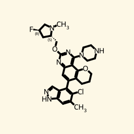 Cc1cc2[nH]ncc2c(-c2cc3nc(OC[C@@H]4C[C@@H](F)CN4C)nc(N4CCNCC4)c3c3c2CCCO3)c1Cl